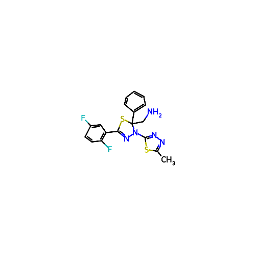 Cc1nnc(N2N=C(c3cc(F)ccc3F)SC2(CN)c2ccccc2)s1